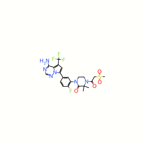 CC1(C)C(=O)N(c2cc(-c3cc(C(F)(F)F)c4c(N)ncnn34)ccc2F)CCN1C(=O)CS(C)(=O)=O